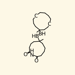 CC1(BBC2(C)CCCCC(=O)NC(=O)CCC2)CCCCCCCCCCC1